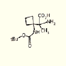 CC(C)(C)OC(=O)NC1(C(C)(N)C(=O)O)CCC1